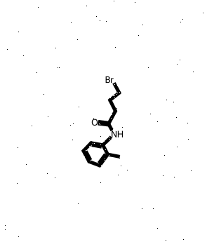 Cc1ccccc1NC(=O)CCCBr